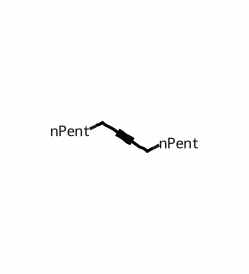 [CH2]CCCCCC#CCCCCC[CH2]